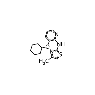 Cc1csc(Nc2ncccc2OC2CCCCC2)n1